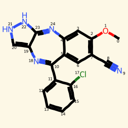 COc1cc2c(cc1C#N)C(c1ccccc1Cl)=NC1=CNNC1=N2